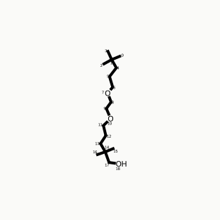 CC(C)(C)CCCOCCOCCCC(C)(C)CO